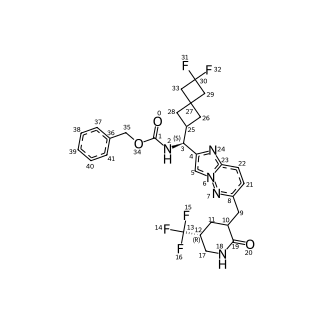 O=C(N[C@H](c1cn2nc(CC3C[C@@H](C(F)(F)F)CNC3=O)ccc2n1)C1CC2(C1)CC(F)(F)C2)OCc1ccccc1